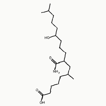 CC(C)CCCC(O)CCCC(CC(C)CCCCC(=O)O)C(N)=O